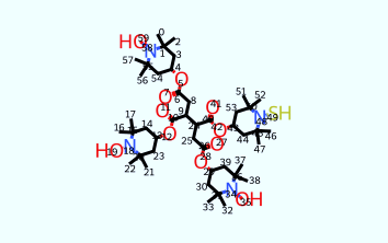 CC1(C)CC(OC(=O)CC(C(=O)OC2CC(C)(C)N(O)C(C)(C)C2)C(CC(=O)OC2CC(C)(C)N(O)C(C)(C)C2)C(=O)OC2CC(C)(C)N(S)C(C)(C)C2)CC(C)(C)N1O